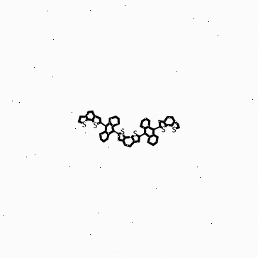 c1ccc2c(-c3cc4ccc5cc(-c6c7ccccc7c(-c7cc8ccc9ccsc9c8s7)c7ccccc67)sc5c4s3)c3ccccc3c(-c3cc4ccc5ccsc5c4s3)c2c1